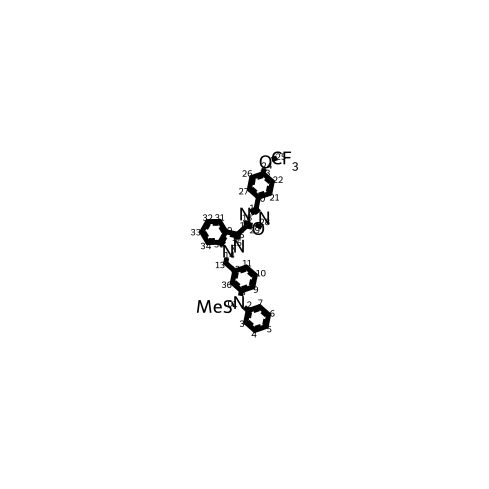 CSN(c1ccccc1)c1cccc(Cn2nc(-c3nc(-c4ccc(OC(F)(F)F)cc4)no3)c3ccccc32)c1